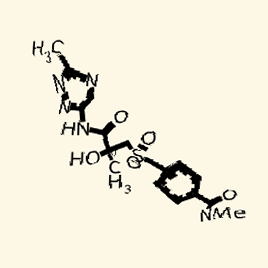 CNC(=O)c1ccc(S(=O)(=O)C[C@](C)(O)C(=O)Nc2cnc(C)nn2)cc1